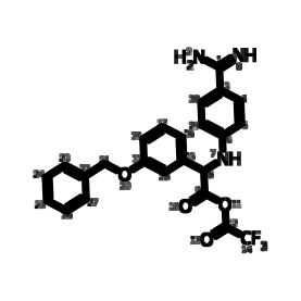 N=C(N)c1ccc(NC(C(=O)OC(=O)C(F)(F)F)c2cccc(OCc3ccccc3)c2)cc1